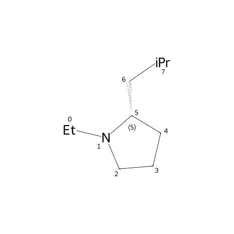 CCN1CCC[C@H]1CC(C)C